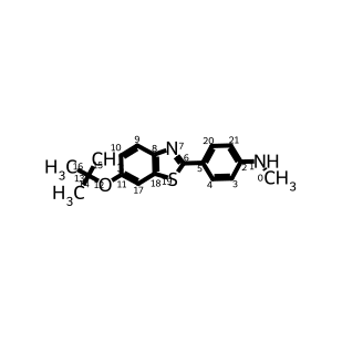 CNc1ccc(-c2nc3ccc(OC(C)(C)C)cc3s2)cc1